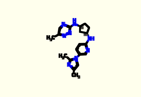 Cc1cnc(N[C@H]2CC[C@H](Nc3ccc(-n4cc(C)nc4C)cn3)C2)nn1